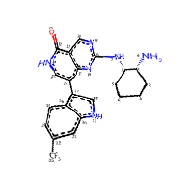 N[C@@H]1CCCC[C@@H]1Nc1ncc2c(=O)[nH]cc(-c3c[nH]c4cc(C(F)(F)F)ccc34)c2n1